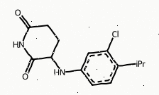 CC(C)c1ccc(NC2CCC(=O)NC2=O)cc1Cl